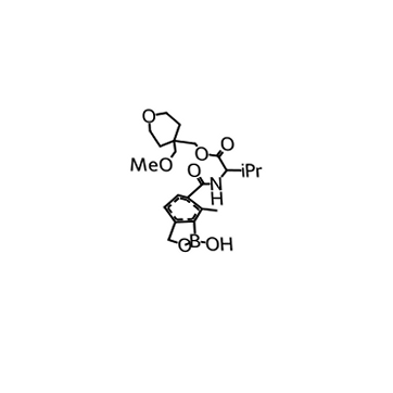 COCC1(COC(=O)C(NC(=O)c2ccc3c(c2C)B(O)OC3)C(C)C)CCOCC1